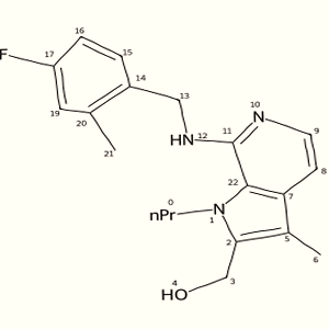 CCCn1c(CO)c(C)c2ccnc(NCc3ccc(F)cc3C)c21